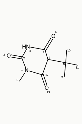 CN1C(=O)NC(=O)C(C(C)(C)C)C1=O